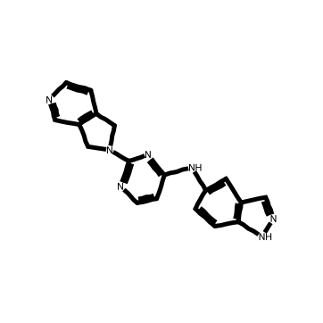 c1cc2c(cn1)CN(c1nccc(Nc3ccc4[nH]ncc4c3)n1)C2